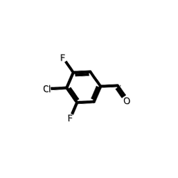 O=[C]c1cc(F)c(Cl)c(F)c1